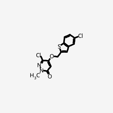 Cn1nc(Cl)c(OCc2cc3cc(Cl)ccc3s2)cc1=O